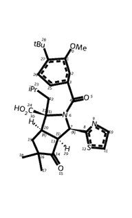 COc1cc(C(=O)N2[C@@H](c3nccs3)[C@H]3C(=O)C(C)(C)C[C@H]3[C@@]2(CC(C)C)C(=O)O)ccc1C(C)(C)C